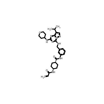 C=CC(=O)N[C@H]1CC[C@@H](C(=O)Nc2cccc(CNc3nc(NC4CCOCC4)nc4c(C(C)C)cnn34)c2)CC1